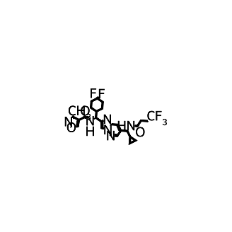 Cc1nocc1C(=O)N[C@H](c1cn2ncc([C@H](NC(=O)CCC(F)(F)F)C3CC3)cc2n1)C1CCC(F)(F)CC1